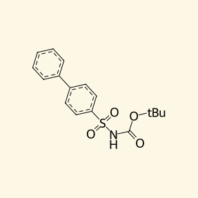 CC(C)(C)OC(=O)NS(=O)(=O)c1ccc(-c2ccccc2)cc1